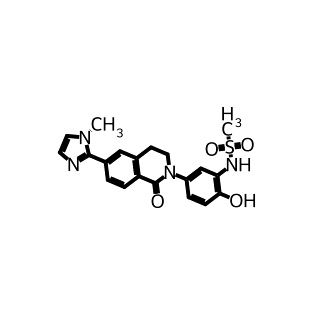 Cn1ccnc1-c1ccc2c(c1)CCN(c1ccc(O)c(NS(C)(=O)=O)c1)C2=O